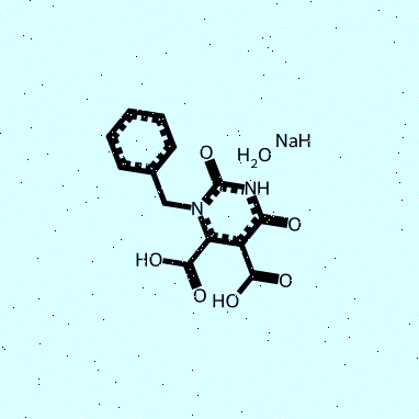 O.O=C(O)c1c(C(=O)O)n(Cc2ccccc2)c(=O)[nH]c1=O.[NaH]